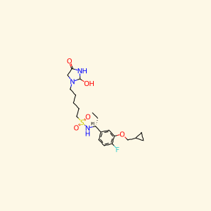 CC[C@@H](NS(=O)(=O)CCCCCN1CC(=O)NC1O)c1ccc(F)c(OCC2CC2)c1